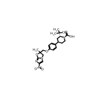 CC1(COc2ccc(C3CCN(C(=O)O)[C@@H](C(C)(C)C)C3)cc2)Cn2cc([N+](=O)[O-])nc2O1